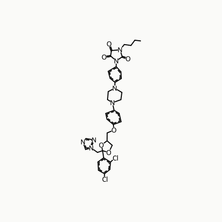 CCCCN1C(=O)C(=O)N(c2ccc(N3CCN(c4ccc(OCC5COC(Cn6cncn6)(c6ccc(Cl)cc6Cl)O5)cc4)CC3)cc2)C1=O